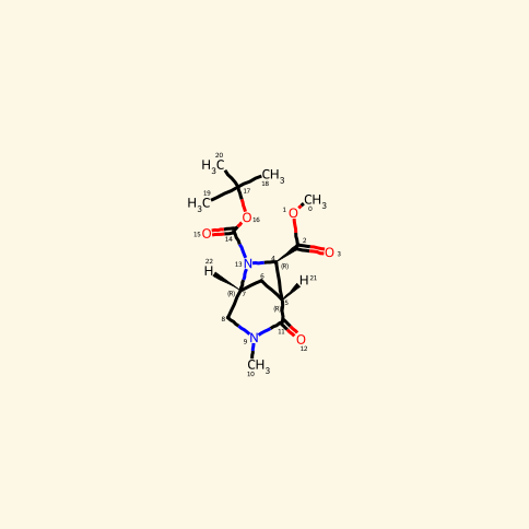 COC(=O)[C@H]1[C@H]2C[C@H](CN(C)C2=O)N1C(=O)OC(C)(C)C